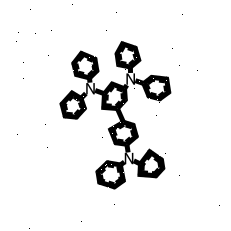 c1ccc(N(c2ccccc2)c2ccc(-c3cc(N(c4ccccc4)c4ccccc4)cc(N(c4ccccc4)c4ccccc4)c3)cc2)cc1